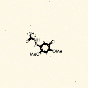 COc1cc(OC)c(SNC(N)=O)cc1Cl